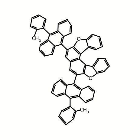 Cc1ccccc1-c1c2ccccc2c(-c2cc3cc(-c4c5ccccc5c(-c5ccccc5C)c5ccccc45)c4oc5ccccc5c4c3c3c2oc2ccccc23)c2ccccc12